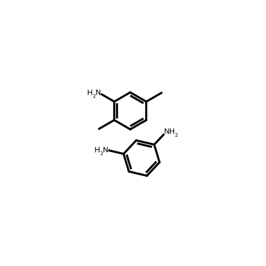 Cc1ccc(C)c(N)c1.Nc1cccc(N)c1